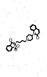 O=C1c2ccccc2S(=O)(=O)N1CCCCN1CCC(n2c(=O)ccc3ccccc32)CC1